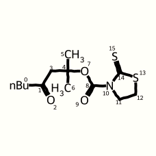 CCCCC(=O)CC(C)(C)OC(=O)N1CCSC1=S